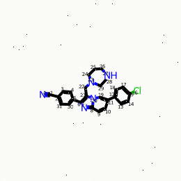 N#Cc1ccc(-c2nc3ccc(-c4ccc(Cl)cc4)cn3c2CN2CCCNCC2)cc1